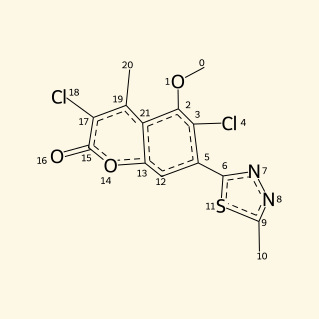 COc1c(Cl)c(-c2nnc(C)s2)cc2oc(=O)c(Cl)c(C)c12